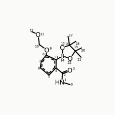 CNC(=O)c1cccc(OCOC)c1B1OC(C)(C)C(C)(C)O1